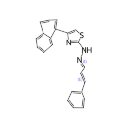 C(=C\c1ccccc1)/C=N/Nc1nc(-c2cccc3ccccc23)cs1